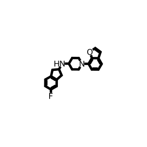 Fc1ccc2c(c1)CC(NC1CCN(c3cccc4ccoc34)CC1)C2